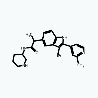 Cc1cc(-c2[nH]c3ccc(C(C)C(=O)NC4CCCNC4)cc3c2C(C)C)ccn1